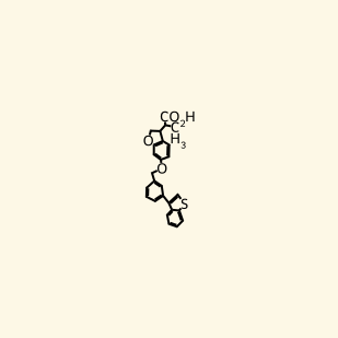 CC(C(=O)O)C1COc2cc(OCc3cccc(-c4csc5ccccc45)c3)ccc21